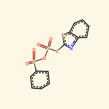 O=S(=O)(OS(=O)(=O)c1ccccc1)Sc1nc2ccccc2s1